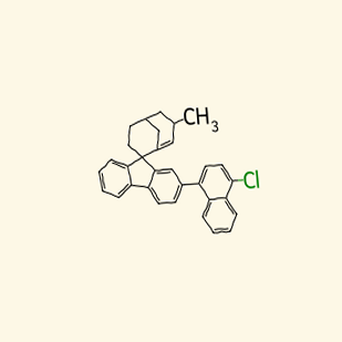 CC1C=C2CC(CCC23c2ccccc2-c2ccc(-c4ccc(Cl)c5ccccc45)cc23)C1